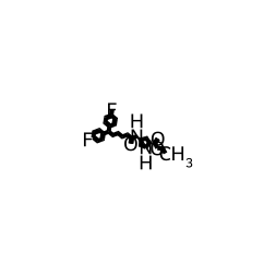 CCOC(=O)[C@@H]1C[C@H](NC(=O)CCCCC(c2ccc(F)cc2)c2ccc(F)cc2)CN1